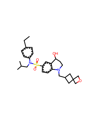 CCc1ccc(N(CC(C)C)S(=O)(=O)c2ccc3c(c2)C(O)CCN3CC2CC3(COC3)C2)cc1